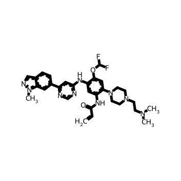 C=CC(=O)Nc1cc(Nc2cc(-c3ccc4cnn(C)c4c3)ncn2)c(OC(F)F)cc1N1CCN(CCN(C)C)CC1